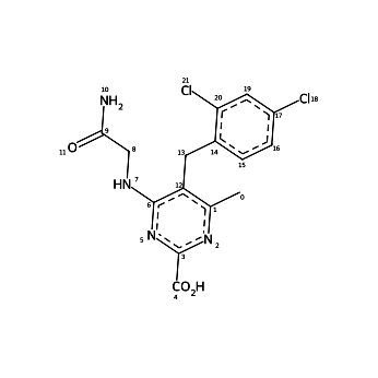 Cc1nc(C(=O)O)nc(NCC(N)=O)c1Cc1ccc(Cl)cc1Cl